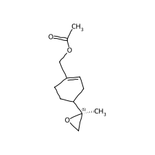 CC(=O)OCC1=CCC([C@@]2(C)CO2)CC1